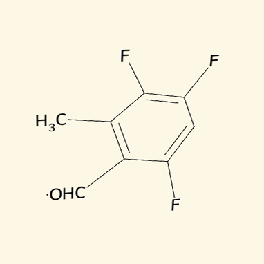 Cc1c(F)c(F)cc(F)c1[C]=O